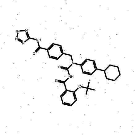 O=C(Nc1nn[nH]n1)c1ccc(CN(C(=O)NC(=O)c2ccccc2OC(F)(F)F)c2ccc(C3CCCCC3)cc2)cc1